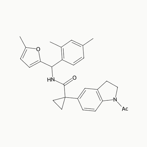 CC(=O)N1CCc2cc(C3(C(=O)NC(c4ccc(C)o4)c4ccc(C)cc4C)CC3)ccc21